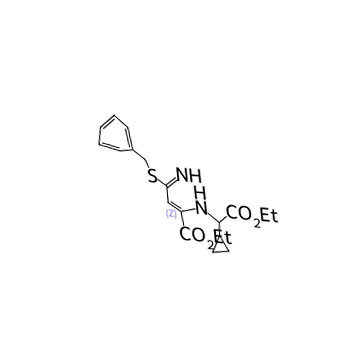 CCOC(=O)/C(=C/C(=N)SCc1ccccc1)NC(C(=O)OCC)C1CC1